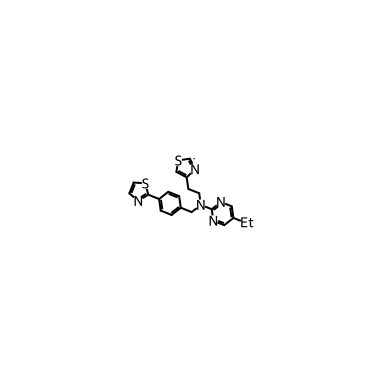 CCc1cnc(N(CCc2cs[c]n2)Cc2ccc(-c3nccs3)cc2)nc1